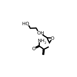 C=C(C)C(N)=O.CC1CO1.OCCO